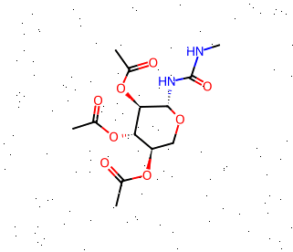 CNC(=O)N[C@@H]1OC[C@@H](OC(C)=O)[C@H](OC(C)=O)[C@H]1OC(C)=O